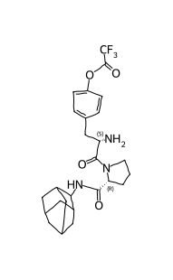 N[C@@H](Cc1ccc(OC(=O)C(F)(F)F)cc1)C(=O)N1CCC[C@@H]1C(=O)NC1C2CC3CC(C2)CC1C3